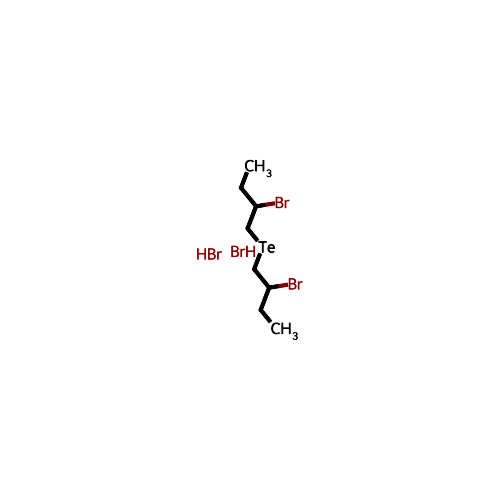 Br.Br.CCC(Br)C[Te]CC(Br)CC